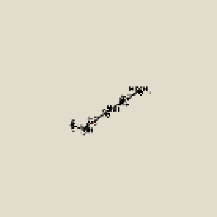 CC(=O)N(O)CCCCCNC(=O)CCC(=O)N(O)CCCCCNC(=O)CCC(=O)N(O)CCCCCNC(=O)CCC(=O)NCC(=O)N[C@@H](CCCCN1C(=O)C=CC1=O)C(=O)O